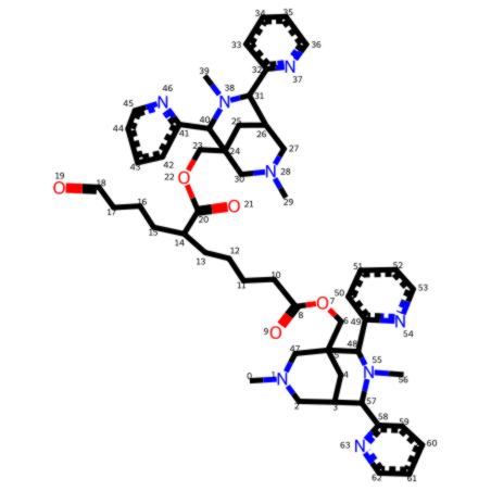 CN1CC2CC(COC(=O)CCCCC(CCCC=O)C(=O)OCC34CC(CN(C)C3)C(c3ccccn3)N(C)C4c3ccccn3)(C1)C(c1ccccn1)N(C)C2c1ccccn1